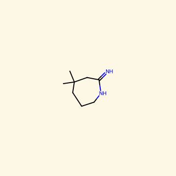 CC1(C)CCCNC(=N)C1